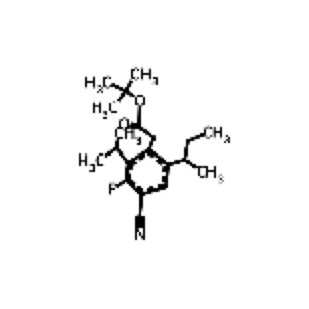 CCC(C)c1cc(C#N)c(F)c(C(C)C)c1CC(=O)OC(C)(C)C